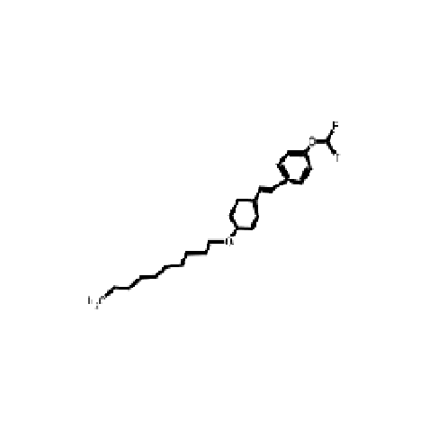 CCCCCCCCCCOC1CCC(C=Cc2ccc(OC(F)F)cc2)CC1